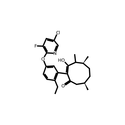 CCc1ccc(Oc2ncc(Cl)cc2F)cc1/C1=C(\O)C(C)[C@@H](C)CC[C@@H](C)CC1=O